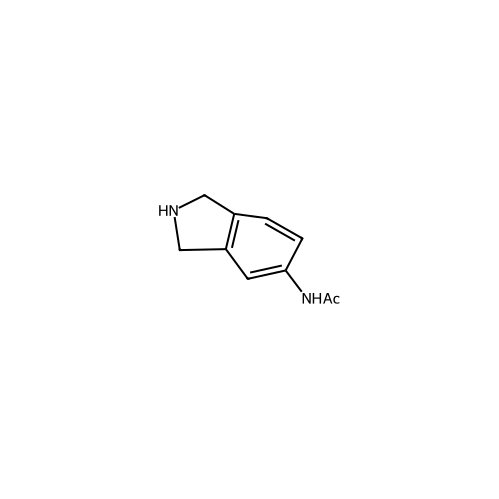 CC(=O)Nc1ccc2c(c1)CNC2